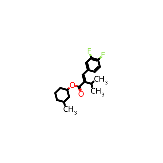 CC1CCCC(OC(=O)C(=Cc2ccc(F)c(F)c2)C(C)C)C1